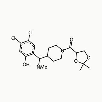 CNC(c1cc(Cl)c(Cl)cc1O)C1CCN(C(=O)C2COC(C)(C)O2)CC1